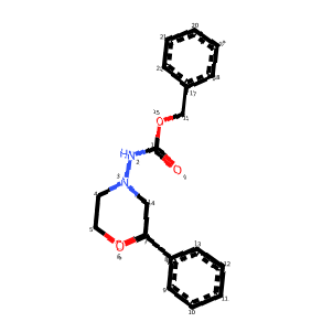 O=C(NN1CCOC(c2ccccc2)C1)OCc1ccccc1